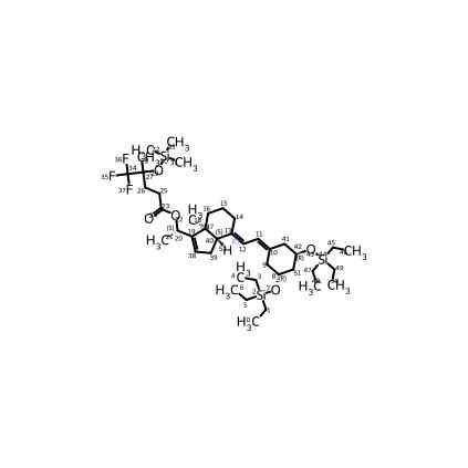 CC[Si](CC)(CC)O[C@@H]1CC(=C/C=C2\CCC[C@]3(C)C([C@H](C)OC(=O)CCC(C)(O[Si](C)(C)C)C(F)(F)F)=CC[C@@H]23)C[C@@H](O[Si](CC)(CC)CC)C1